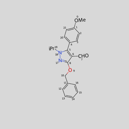 COc1ccc(-c2c(C=O)c(OCc3ccccc3)nn2C(C)C)cc1